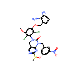 COc1cc(OCc2cccc(N)c2N)c(Cl)c(N2Cc3cnc([S+](C)[O-])nc3N(Cc3cccc([N+](=O)[O-])c3)C2=O)c1Cl